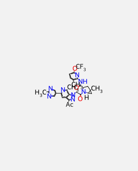 CC(=O)c1nn(CC(=O)N2[C@H](C(=O)Nc3nc(OC(F)(F)F)ccc3C)C[C@@]3(C)C[C@@H]23)c2c(C)nc(-c3cnc(C)nc3)cc12